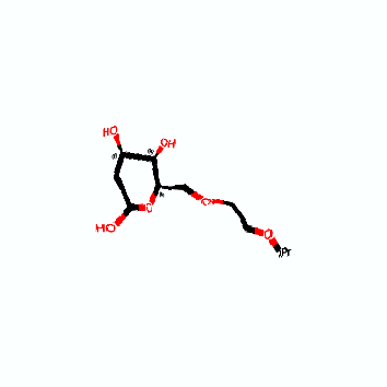 CC(C)OCCOC[C@H]1OC(O)C[C@@H](O)[C@H]1O